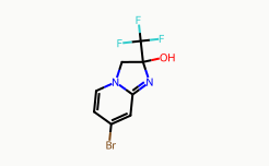 OC1(C(F)(F)F)CN2C=CC(Br)=CC2=N1